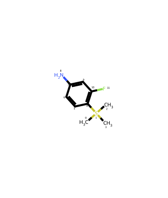 CS(C)(C)c1ccc(N)cc1F